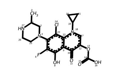 CC1CN(c2c(F)c(O)c3c(=O)c(OC(=O)O)cn(C4CC4)c3c2Cl)CCN1